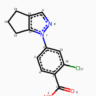 O=C(O)c1ccc(-n2ncc3c2CCC3)cc1Cl